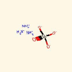 [NH4+].[NH4+].[NH4+].[O]=[Sb]([O-])([O-])[O-]